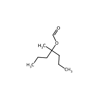 CCCC(C)(CCC)OC=O